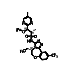 Cc1cnc([C@H](OC(C)C)[C@H](C)S(=O)(=O)Nc2nnc3n2[C@@H](CO)COc2ccc(C(F)(F)F)cc2-3)nc1